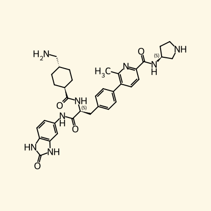 Cc1nc(C(=O)N[C@H]2CCNC2)ccc1-c1ccc(C[C@H](NC(=O)[C@H]2CC[C@H](CN)CC2)C(=O)Nc2ccc3[nH]c(=O)[nH]c3c2)cc1